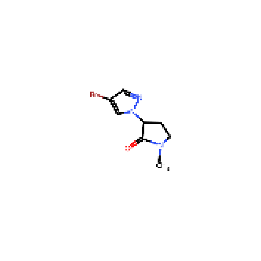 CN1CCC(n2cc(Br)cn2)C1=O